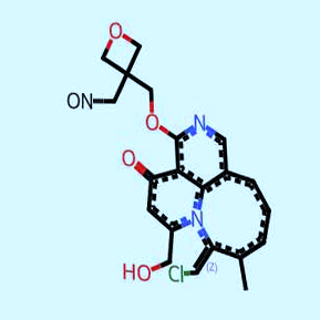 Cc1cccc2cnc(OCC3(CN=O)COC3)c3c(=O)cc(CO)n(/c1=C\Cl)c23